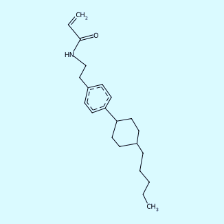 C=CC(=O)NCCc1ccc(C2CCC(CCCCC)CC2)cc1